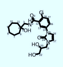 O=C(NCC1(O)CCCCCC1)c1cc(-n2ccn(CC(O)CO)c2=O)ccc1Cl